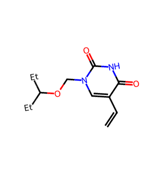 C=Cc1cn(COC(CC)CC)c(=O)[nH]c1=O